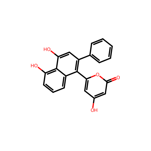 O=c1cc(O)cc(-c2c(-c3ccccc3)cc(O)c3c(O)cccc23)o1